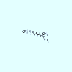 CCCC(C)C=CC=CCCCCCCCl